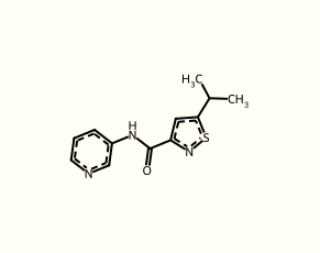 CC(C)c1cc(C(=O)Nc2cccnc2)ns1